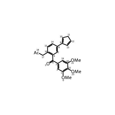 COc1cc(C(=O)c2cc(C3=CCC=C3)ccc2CC(C)=O)cc(OC)c1OC